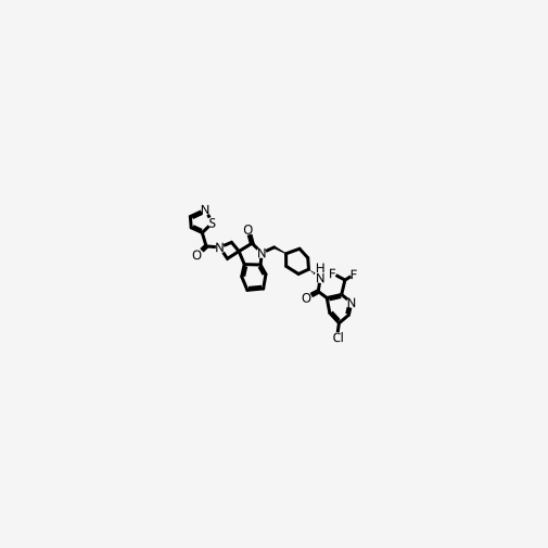 O=C(N[C@H]1CC[C@H](CN2C(=O)C3(CN(C(=O)c4ccns4)C3)c3ccccc32)CC1)c1cc(Cl)cnc1C(F)F